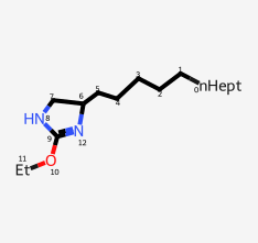 CCCCCCCCCCCCC1CNC(OCC)=N1